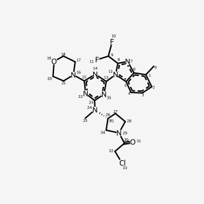 Cc1cccc2c1nc(C(F)F)n2-c1nc(N2CCOCC2)nc(N(C)[C@@H]2CCN(C(=O)CCl)C2)n1